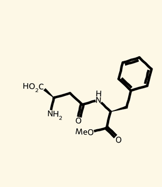 COC(=O)[C@H](Cc1ccccc1)NC(=O)C[C@@H](N)C(=O)O